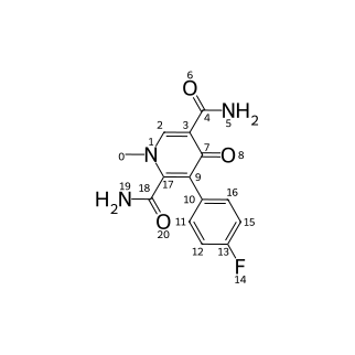 Cn1cc(C(N)=O)c(=O)c(-c2ccc(F)cc2)c1C(N)=O